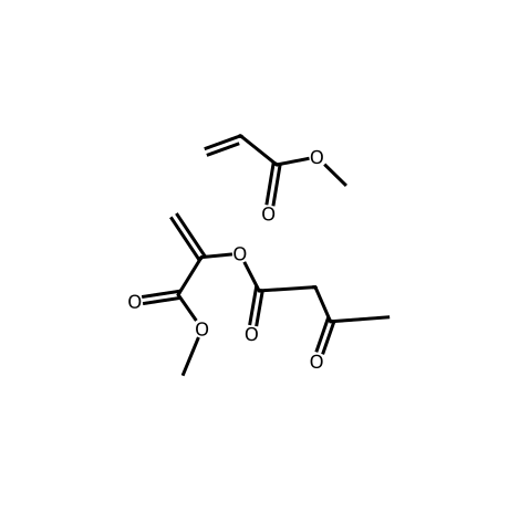 C=C(OC(=O)CC(C)=O)C(=O)OC.C=CC(=O)OC